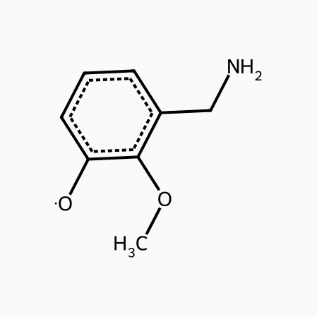 COc1c([O])cccc1CN